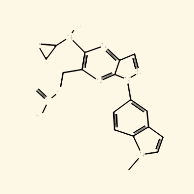 CCN(c1nc2cnn(-c3ccc4c(ccn4C)c3)c2nc1COS(=O)C(C)(C)C)C1CO1